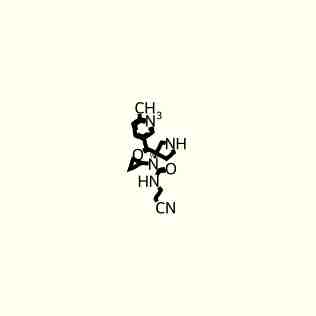 Cc1ccc(C(=O)[C@@]2(N(C(=O)NCCC#N)C3CC3)CCNC2)cn1